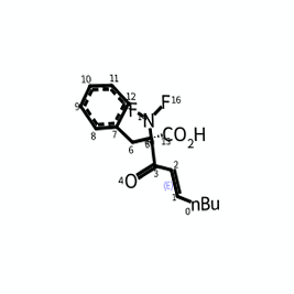 CCCC/C=C/C(=O)[C@](Cc1ccccc1)(C(=O)O)N(F)F